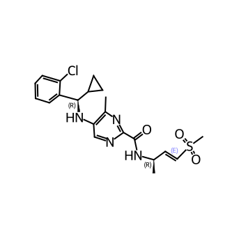 Cc1nc(C(=O)N[C@H](C)/C=C/S(C)(=O)=O)ncc1N[C@@H](c1ccccc1Cl)C1CC1